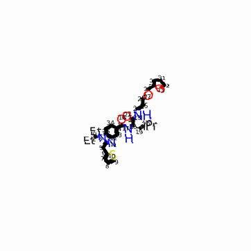 CCC(CC)n1c(Cc2cccs2)nc2cc(C(=O)N[C@@H](CC(C)C)C(=O)NCCCOCC3CCCO3)ccc21